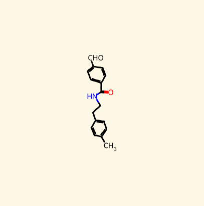 Cc1ccc(CCNC(=O)c2ccc(C=O)cc2)cc1